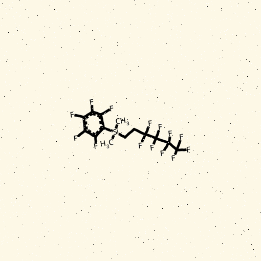 C[Si](C)(CCC(F)(F)C(F)(F)C(F)(F)C(F)(F)F)c1c(F)c(F)c(F)c(F)c1F